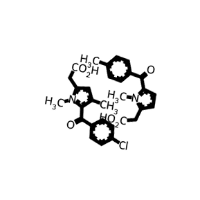 Cc1cc(CC(=O)O)n(C)c1C(=O)c1ccc(Cl)cc1.Cc1ccc(C(=O)c2ccc(CC(=O)O)n2C)cc1